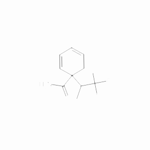 CC(C(F)(F)F)C1(C(N)=O)C=CC=CC1